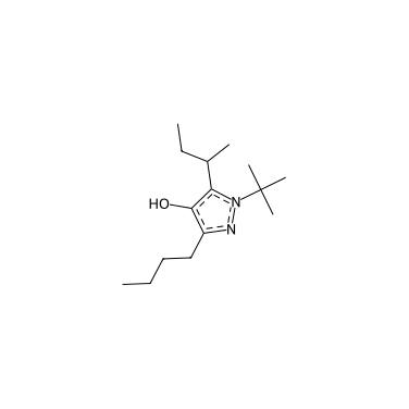 CCCCc1nn(C(C)(C)C)c(C(C)CC)c1O